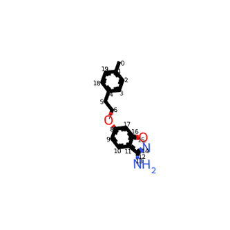 Cc1ccc(CCOc2ccc3c(N)noc3c2)cc1